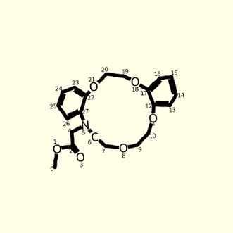 COC(=O)CN1CCOCCOc2ccccc2OCCOc2ccccc21